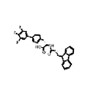 O=C(N[C@@H](Cc1ccc(-c2cc(F)c(F)c(F)c2)cc1)C(=O)O)OCC1c2ccccc2-c2ccccc21